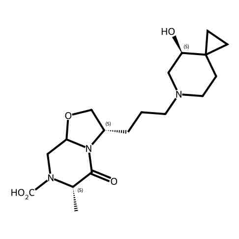 C[C@H]1C(=O)N2C(CN1C(=O)O)OC[C@@H]2CCCN1CCC2(CC2)[C@H](O)C1